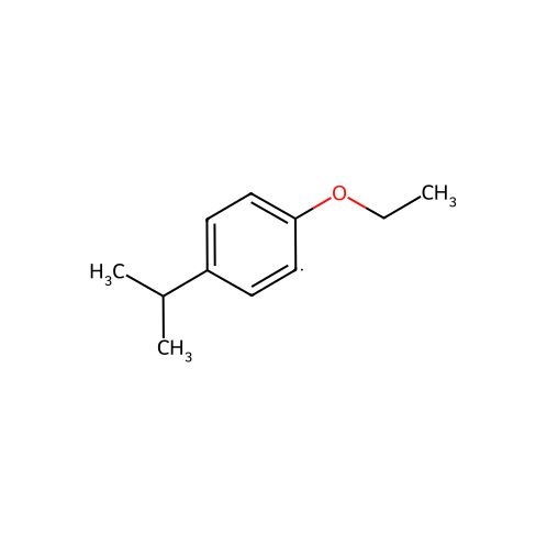 CCOc1[c]cc(C(C)C)cc1